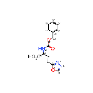 O=C(NC(CCc1nnco1)C(=O)O)OCc1ccccc1